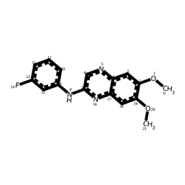 COc1cc2ncc(Nc3cccc(F)c3)nc2cc1OC